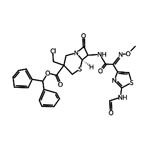 CON=C(C(=O)NC1C(=O)N2CC(CCl)(C(=O)OC(c3ccccc3)c3ccccc3)CS[C@H]12)c1csc(NC=O)n1